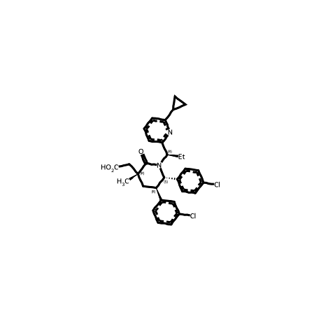 CC[C@H](c1cccc(C2CC2)n1)N1C(=O)[C@@](C)(CC(=O)O)C[C@H](c2cccc(Cl)c2)[C@H]1c1ccc(Cl)cc1